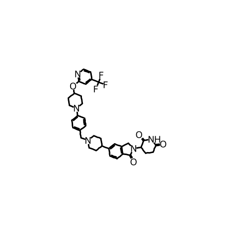 O=C1CCC(N2Cc3cc(C4CCN(Cc5ccc(N6CCC(Oc7cc(C(F)(F)F)ccn7)CC6)cc5)CC4)ccc3C2=O)C(=O)N1